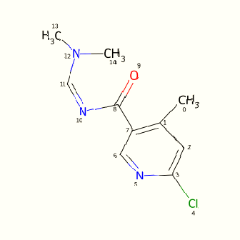 Cc1cc(Cl)ncc1C(=O)/N=C\N(C)C